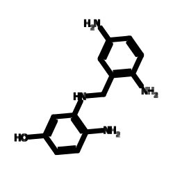 Nc1ccc(N)c(CNc2cc(O)ccc2N)c1